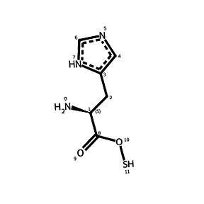 N[C@@H](Cc1cnc[nH]1)C(=O)OS